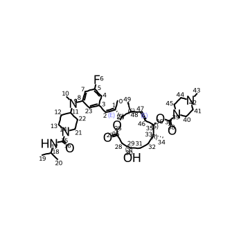 C/C(=C\c1cc(F)cc(N(C)C2CCN(C(=O)NC(C)C)CC2)c1)[C@H]1OC(=O)C[C@@H](O)CC[C@@H](C)[C@H](OC(=O)N2CCN(C)CC2)/C=C/[C@@H]1C